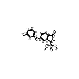 COP(=O)(OC)C1OC(=O)c2ccc(Oc3cccc(C)c3)cc21